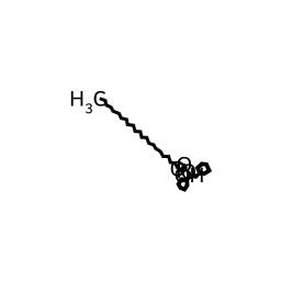 CCCCCCCCCCCCCCCCCCCCCCOP(=O)(O)OC(Cc1ccccc1)c1ccccc1